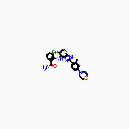 Cc1cc(N2CCOCC2)ccc1-c1nc2c(NC3C4C=CC(C4)C3C(N)=O)c(Br)cnc2[nH]1